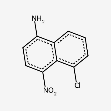 Nc1ccc([N+](=O)[O-])c2c(Cl)cccc12